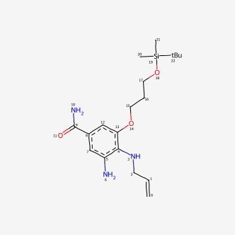 C=CCNc1c(N)cc(C(N)=O)cc1OCCCO[Si](C)(C)C(C)(C)C